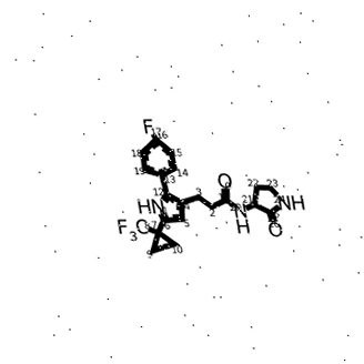 O=C(CCc1cc(C2(C(F)(F)F)CC2)[nH]c1-c1ccc(F)cc1)NC1CCNC1=O